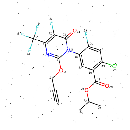 C#CCOc1nc(C(F)(F)F)c(F)c(=O)n1-c1cc(C(=O)OC(C)C)c(Cl)cc1F